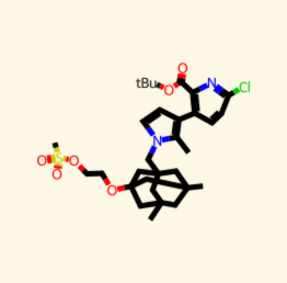 Cc1c(-c2ccc(Cl)nc2C(=O)OC(C)(C)C)ccn1CC12CC3(C)CC(C)(C1)CC(OCCOS(C)(=O)=O)(C3)C2